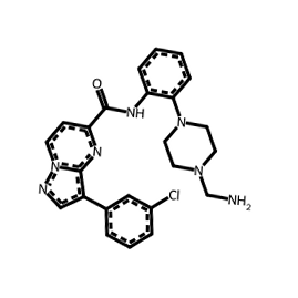 NCN1CCN(c2ccccc2NC(=O)c2ccn3ncc(-c4cccc(Cl)c4)c3n2)CC1